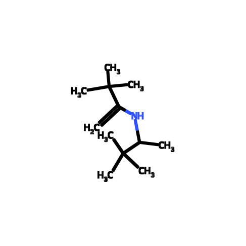 C=C(NC(C)C(C)(C)C)C(C)(C)C